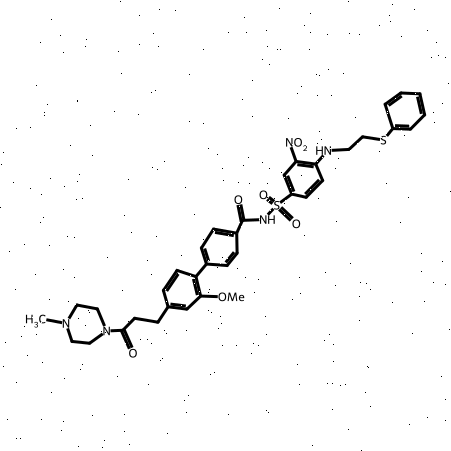 COc1cc(CCC(=O)N2CCN(C)CC2)ccc1-c1ccc(C(=O)NS(=O)(=O)c2ccc(NCCSc3ccccc3)c([N+](=O)[O-])c2)cc1